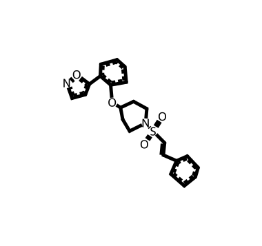 O=S(=O)(/C=C/c1ccccc1)N1CCC(Oc2ccccc2-c2ccno2)CC1